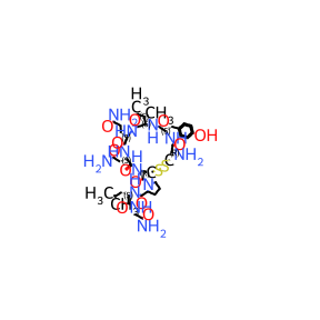 CC[C@H](C)[C@@H]1NC(=O)[C@H](Cc2ccc(O)cc2)NC(=O)[C@@H](N)CSSC[C@@H](C(=O)N2CCCC2C(=O)N[C@@H](CC(C)C)C(=O)NCC(N)=O)NC(=O)[C@H](CC(N)=O)NC(=O)[C@H](CCC(N)=O)NC1=O